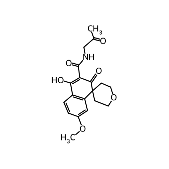 COc1ccc2c(c1)C1(CCOCC1)C(=O)C(C(=O)NCC(C)=O)=C2O